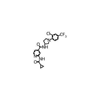 O=C(NC1CCN(c2ccc(C(F)(F)F)cc2Cl)C1)c1ccnc(NC(=O)C2CC2)c1